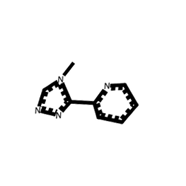 Cn1cnnc1-c1ccccn1